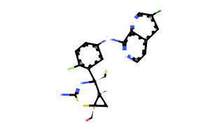 NC1=N[C@](CF)(c2cc(Nc3nccc4cc(Cl)cnc34)ccc2F)[C@@H]2C[C@]2(CO)S1